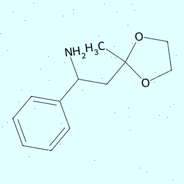 CC1(CC(N)c2ccccc2)OCCO1